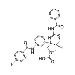 O=C(NC1=NC2(c3cccc(NC(=O)c4ccc(F)cn4)c3)CN(C(=O)O)C[C@H]2CS1)c1ccccc1